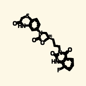 O=C1CSc2ccc(N3C[C@@H](CCCn4c(=O)[nH]c5c(F)cccc5c4=O)OC3=O)cc2N1